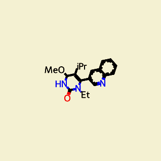 CCN1C(=O)NC(OC)C(C(C)C)=C1c1cnc2ccccc2c1